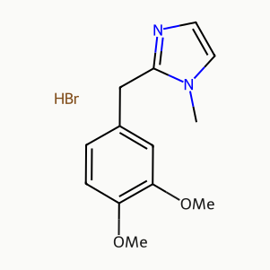 Br.COc1ccc(Cc2nccn2C)cc1OC